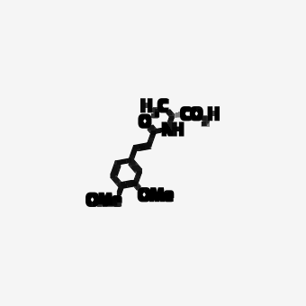 COc1ccc(C=CC(=O)N[C@H](C)C(=O)O)cc1OC